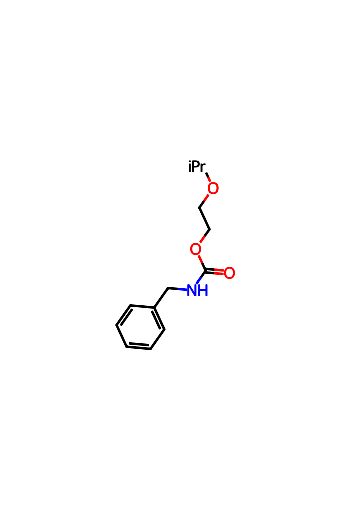 CC(C)OCCOC(=O)NCc1ccccc1